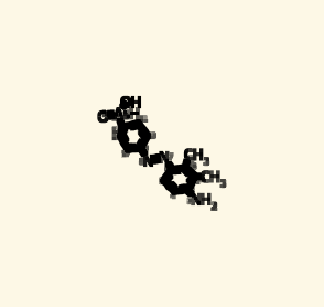 Cc1c(N)ccc(N=Nc2ccc([AsH](=O)O)cc2)c1C